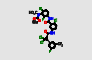 CC(C)(C)OC(=O)N(C(=O)O)c1c(F)ccc(NC(=O)c2cc(NC(=O)[C@H]3[C@H](c4cc(F)cc(C(F)(F)F)c4)C3(Cl)Cl)ccc2Cl)c1F